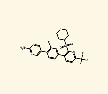 Nc1ncc(-c2ccc(-c3ccc(C(F)(F)F)nc3S(=O)(=O)C3CCSCC3)cc2F)cn1